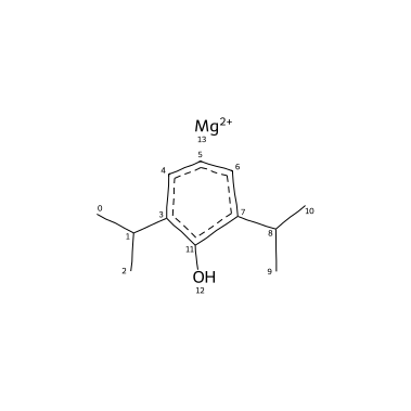 CC(C)c1cccc(C(C)C)c1O.[Mg+2]